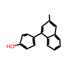 Cc1cc(-c2ccc(O)cc2)c2ccccc2c1